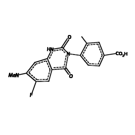 CNc1cc2[nH]c(=O)n(-c3ccc(C(=O)O)cc3C)c(=O)c2cc1F